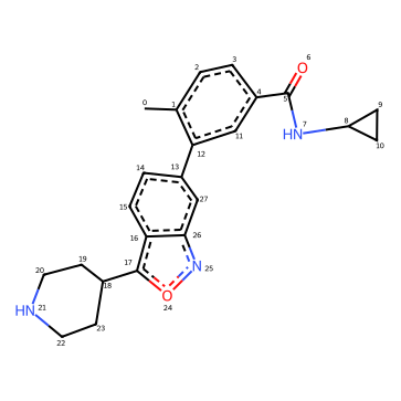 Cc1ccc(C(=O)NC2CC2)cc1-c1ccc2c(C3CCNCC3)onc2c1